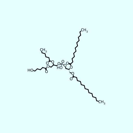 CCCCCCCCCCCCCC(=O)OC[C@H](COP(=O)(O)OCC(COC(=O)CCCCO)OC(=O)CCCCC)OC(=O)CCCCCCCCCCCCC